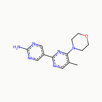 Cc1cnc(-c2cnc(N)nc2)nc1N1CCOCC1